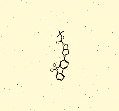 CC(C)(C)OC(=O)N1CC2CN(c3ccc4c(c3)S(=O)(=O)c3ccccc3-4)CC21